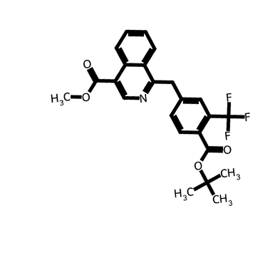 COC(=O)c1cnc(Cc2ccc(C(=O)OC(C)(C)C)c(C(F)(F)F)c2)c2ccccc12